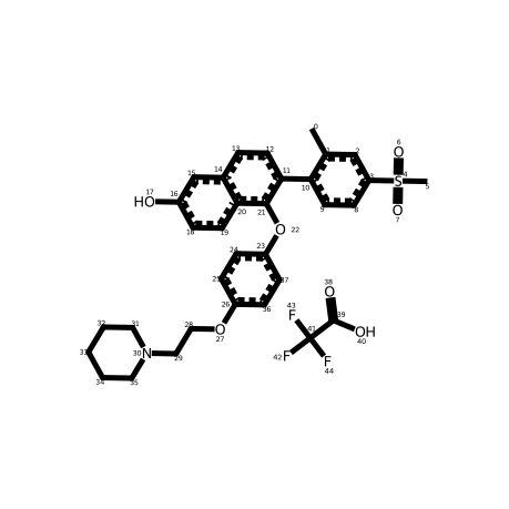 Cc1cc(S(C)(=O)=O)ccc1-c1ccc2cc(O)ccc2c1Oc1ccc(OCCN2CCCCC2)cc1.O=C(O)C(F)(F)F